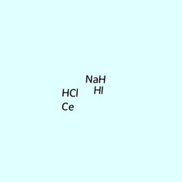 Cl.I.[Ce].[NaH]